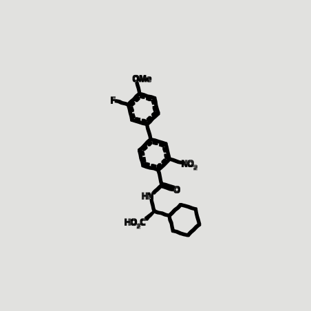 COc1ccc(-c2ccc(C(=O)N[C@H](C(=O)O)C3CCCCC3)c([N+](=O)[O-])c2)cc1F